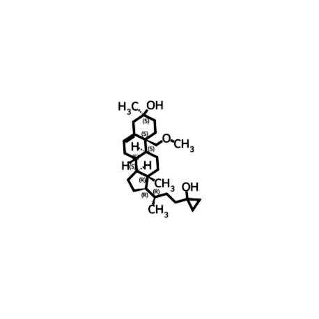 COC[C@]12CC[C@](C)(O)CC1=CC[C@@H]1[C@@H]2CC[C@]2(C)[C@@H]([C@H](C)CCC3(O)CC3)CC[C@@H]12